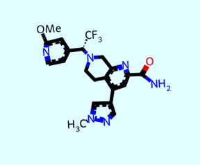 COc1cc([C@@H](N2CCc3c(-c4cnn(C)c4)cc(C(N)=O)nc3C2)C(F)(F)F)ccn1